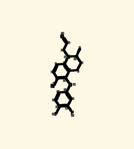 C[C@H]1CCc2c(ccc(Br)c2Oc2ccc(F)c(F)c2)N1CC=O